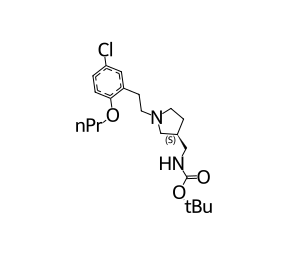 CCCOc1ccc(Cl)cc1CCN1CC[C@@H](CNC(=O)OC(C)(C)C)C1